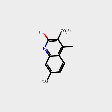 CCOC(=O)c1c(O)nc2cc(C(C)(C)C)ccc2c1C